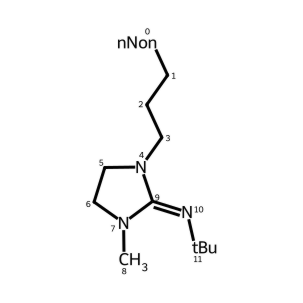 CCCCCCCCCCCCN1CCN(C)C1=NC(C)(C)C